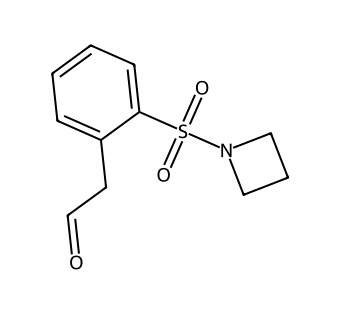 O=CCc1ccccc1S(=O)(=O)N1CCC1